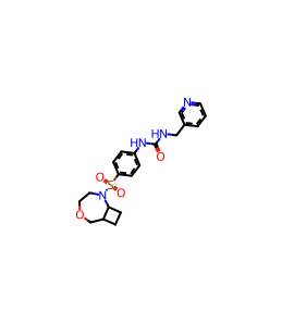 O=C(NCc1cccnc1)Nc1ccc(S(=O)(=O)N2CCOCC3CCC32)cc1